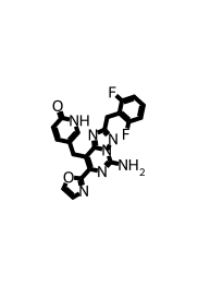 Nc1nc(-c2ncco2)c(Cc2ccc(=O)[nH]c2)c2nc(Cc3c(F)cccc3F)nn12